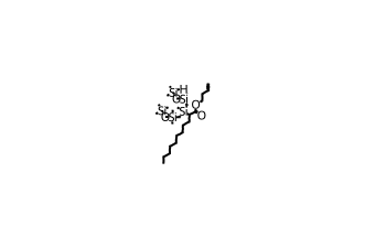 C=CCCOC(=O)C(CCCCCCCCC)[Si](C)(C[SiH](C)O[Si](C)(C)C)C[Si](C)(C)O[Si](C)(C)C